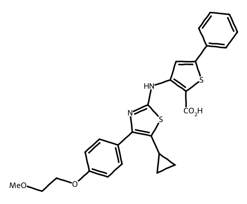 COCCOc1ccc(-c2nc(Nc3cc(-c4ccccc4)sc3C(=O)O)sc2C2CC2)cc1